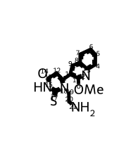 COc1nc2ccccc2cc1-c1cc(=O)[nH]c(=S)n1CCN